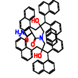 NC(=O)C1(C(=O)N(CC(O)(Cc2cccc3ccccc23)C(c2cccc3ccccc23)c2cccc3ccccc23)CC(O)(Cc2cccc3ccccc23)C(c2cccc3ccccc23)c2cccc3ccccc23)CCC1